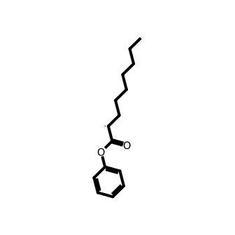 CCCCCCC[CH]C(=O)Oc1ccccc1